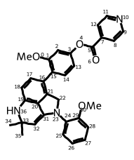 COc1cc(OC(=O)c2ccncc2)ccc1-c1ccc2c3c1CN(c1ccccc1OC)C3=CC(C)(C)N2